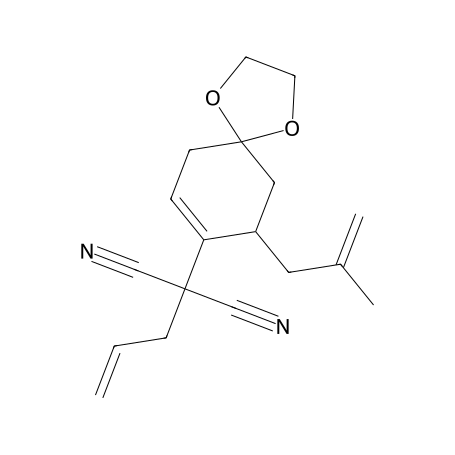 C=CCC(C#N)(C#N)C1=CCC2(CC1CC(=C)C)OCCO2